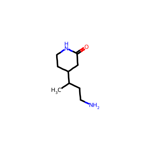 CC(CCN)C1CCNC(=O)C1